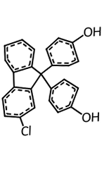 Oc1ccc(C2(c3ccc(O)cc3)c3ccccc3-c3ccc(Cl)cc32)cc1